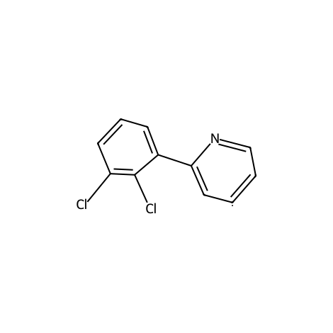 Clc1cccc(-c2c[c]ccn2)c1Cl